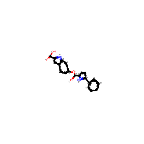 O=C(O)c1cc2ccc(OC(=O)c3ccc(-c4ccccc4)[nH]3)cc2[nH]1